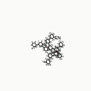 Cc1cccc(-c2ccc3c(c2)c2ccccc2n3-c2ccc(-c3cccc(C#N)c3)cc2-c2ccc(-n3c4ccccc4c4cc(-c5cccc(C)c5)ccc43)c(-c3nc(-c4ccccc4)nc(-c4ccccc4)n3)c2)c1